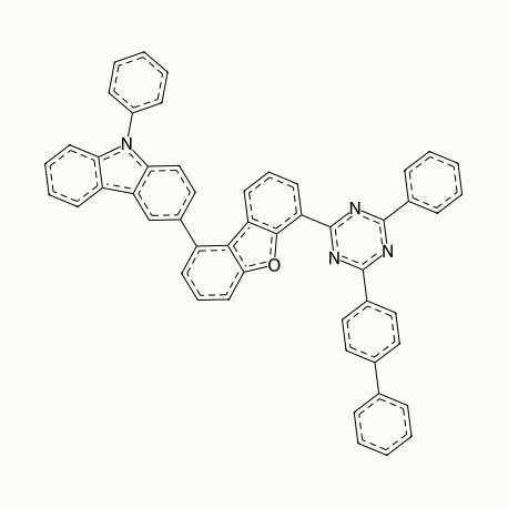 c1ccc(-c2ccc(-c3nc(-c4ccccc4)nc(-c4cccc5c4oc4cccc(-c6ccc7c(c6)c6ccccc6n7-c6ccccc6)c45)n3)cc2)cc1